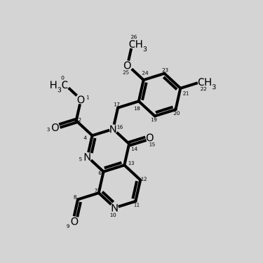 COC(=O)c1nc2c(C=O)nccc2c(=O)n1Cc1ccc(C)cc1OC